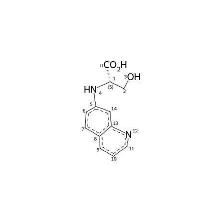 O=C(O)[C@H](CO)Nc1ccc2cccnc2c1